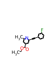 CCOC(=O)c1cc(C)nc(C#Cc2cccc(F)c2)c1